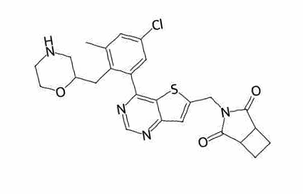 Cc1cc(Cl)cc(-c2ncnc3cc(CN4C(=O)C5CCC5C4=O)sc23)c1CC1CNCCO1